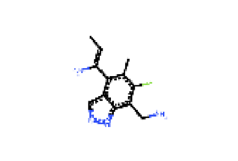 C/C=C(\N)c1c(C)c(F)c(CN)c2[nH]ncc12